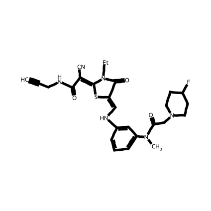 C#CCNC(=O)C(C#N)=c1sc(=CNc2cccc(N(C)C(=O)CN3CCC(F)CC3)c2)c(=O)n1CC